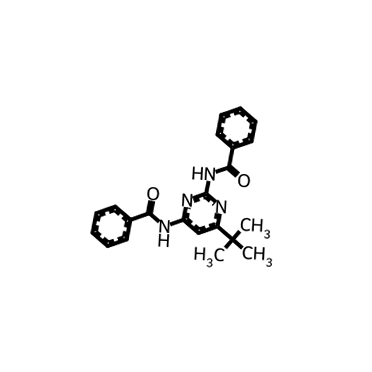 CC(C)(C)c1cc(NC(=O)c2ccccc2)nc(NC(=O)c2ccccc2)n1